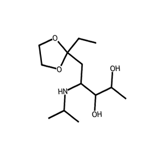 CCC1(CC(NC(C)C)C(O)C(C)O)OCCO1